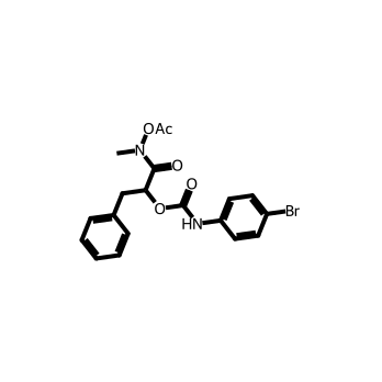 CC(=O)ON(C)C(=O)C(Cc1ccccc1)OC(=O)Nc1ccc(Br)cc1